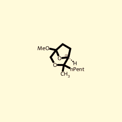 CCCCCC1(C)OCC2(OC)CC[C@@H]1O2